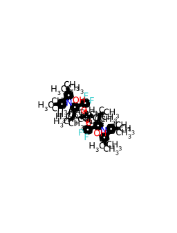 C[CH](C)[Ge]([CH2]Oc1cc(F)c(F)cc1-c1cc(C(C)(C)CC(C)(C)C)cc(-n2c3ccc(C(C)(C)C)cc3c3cc(C(C)(C)C)ccc32)c1O)([CH2]Oc1cc(F)c(F)cc1-c1cc(C(C)(C)CC(C)(C)C)cc(-n2c3ccc(C(C)(C)C)cc3c3cc(C(C)(C)C)ccc32)c1O)[CH](C)C